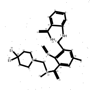 C=Nc1c(CNc2ccccc2C(=C)N)cc(C)cc1C(=C)N(C)CN1CCC(CC)(CC)CC1